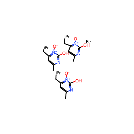 Cc1cc(CC(C)C)[n+]([O-])c(O)n1.Cc1cc(CC(C)C)[n+]([O-])c(O)n1.Cc1cc(CC(C)C)[n+]([O-])c(O)n1.[Fe]